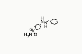 NS(=O)(=O)c1ccc(NNCc2ccccc2)cc1